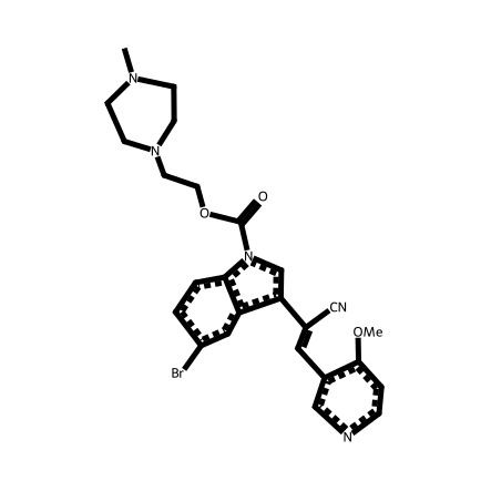 COc1ccncc1C=C(C#N)c1cn(C(=O)OCCN2CCN(C)CC2)c2ccc(Br)cc12